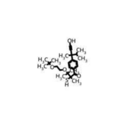 CC(C)C(C)(C#CO)c1ccc(C(=O)C(C)(S)C(C)(C)OCCOC(C)(C)C)cc1